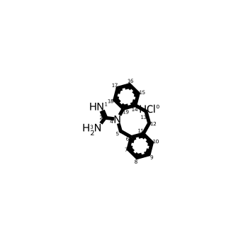 Cl.N=C(N)N1Cc2ccccc2CCc2ccccc21